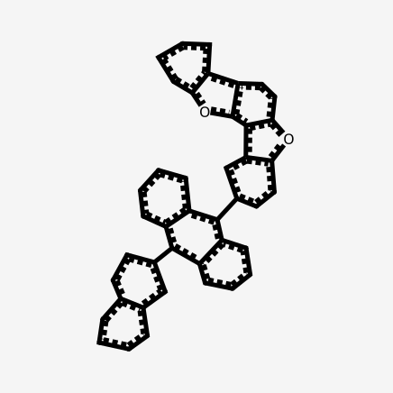 c1ccc2cc(-c3c4ccccc4c(-c4ccc5oc6ccc7c8ccccc8oc7c6c5c4)c4ccccc34)ccc2c1